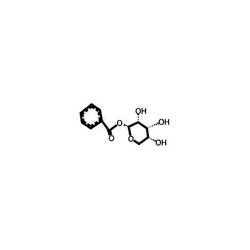 O=C(O[C@H]1OC[C@@H](O)[C@@H](O)[C@H]1O)c1ccccc1